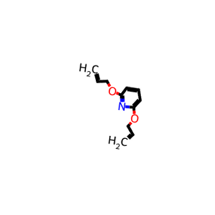 C=CCOc1cccc(OCC=C)n1